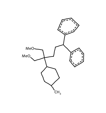 COCC(CCC(c1ccccc1)c1ccccc1)(COC)C1CCC(C)CC1